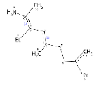 C=C(CC/C(C)=C/C(CC)=C(\C)N)C(C)C